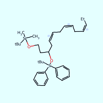 CC/C=C\C/C=C\C/C=C\CC(CCO[Si](C)(C)C(C)(C)C)O[Si](c1ccccc1)(c1ccccc1)C(C)(C)C